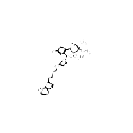 CC1(C)CCC(c2ccc(F)cc2[C@@H](C(=O)O)N2CC[C@@H](OCCCCc3ccc4c(n3)NCCC4)C2)OC1